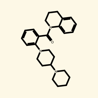 O=C(c1ccccc1N1CCC(N2CCCCC2)CC1)N1CCCc2ccccc21